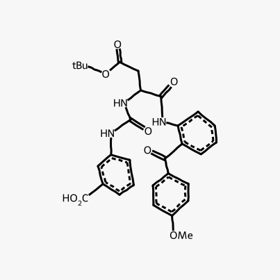 COc1ccc(C(=O)c2ccccc2NC(=O)C(CC(=O)OC(C)(C)C)NC(=O)Nc2cccc(C(=O)O)c2)cc1